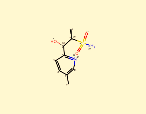 Cc1ccc([C@H](O)[C@@H](C)S(N)(=O)=O)nc1